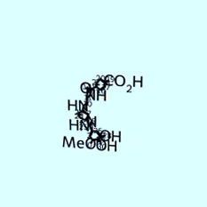 COc1cc(-c2nc3cc(NCCNC(=O)c4ccc(C(=O)O)cc4)ccc3[nH]2)cc(O)c1O